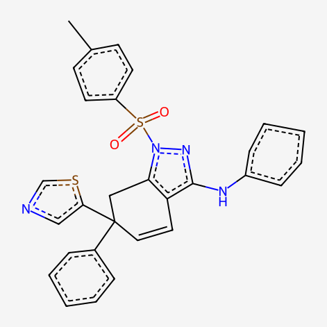 Cc1ccc(S(=O)(=O)n2nc(Nc3ccccc3)c3c2CC(c2ccccc2)(c2cncs2)C=C3)cc1